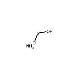 N.OSO